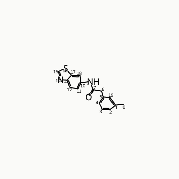 Cc1cccc(CC(=O)Nc2ccc3ncsc3c2)c1